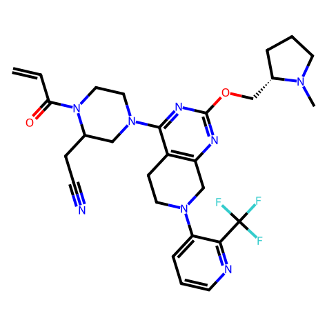 C=CC(=O)N1CCN(c2nc(OC[C@@H]3CCCN3C)nc3c2CCN(c2cccnc2C(F)(F)F)C3)CC1CC#N